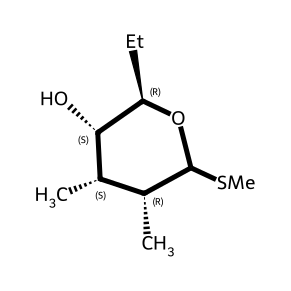 CC[C@H]1OC(SC)[C@H](C)[C@H](C)[C@@H]1O